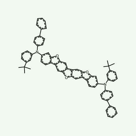 CC(C)(C)c1cccc(N(c2ccc(-c3ccccc3)cc2)c2ccc3c(c2)oc2cc4c(cc23)oc2cc3c(cc24)oc2cc(N(c4ccc(-c5ccccc5)cc4)c4cccc(C(C)(C)C)c4)ccc23)c1